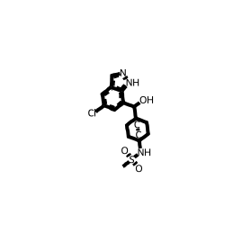 CS(=O)(=O)NC12CCC(C(O)c3cc(Cl)cc4cn[nH]c34)(CC1)CC2